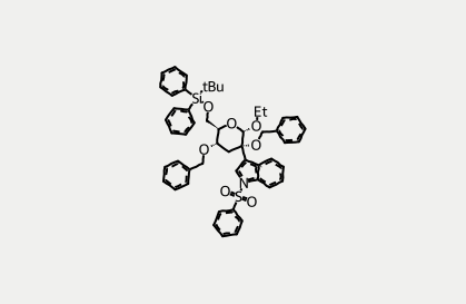 CCO[C@H]1O[C@H](CO[Si](c2ccccc2)(c2ccccc2)C(C)(C)C)[C@@H](OCc2ccccc2)C[C@]1(OCc1ccccc1)c1cn(S(=O)(=O)c2ccccc2)c2ccccc12